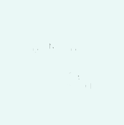 CC1CN(CC2OCC(c3cccc(Cl)c3)C2C)CC(C)O1